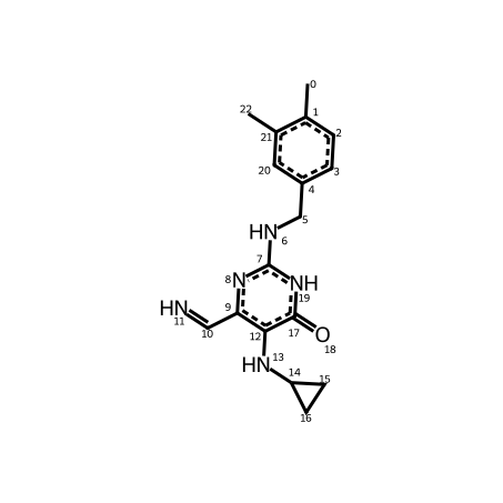 Cc1ccc(CNc2nc(C=N)c(NC3CC3)c(=O)[nH]2)cc1C